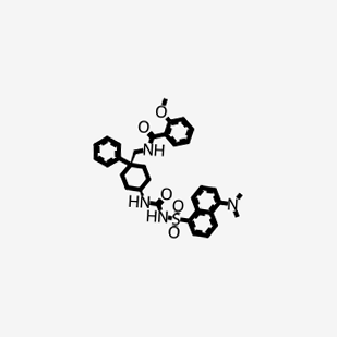 COc1ccccc1C(=O)NC[C@]1(c2ccccc2)CC[C@H](NC(=O)NS(=O)(=O)c2cccc3c(N(C)C)cccc23)CC1